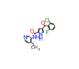 CCc1ccncc1NC(=O)c1cc(C(=O)c2c(F)cccc2Cl)c[nH]1